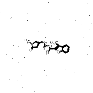 Cc1c(C(NC(=O)NC2CC(=O)N(C)C2)C(C)C)oc2ccccc12